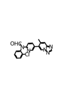 Cc1cc2ncnn2cc1-c1ccc(N(C=O)c2ccccc2Cl)nc1